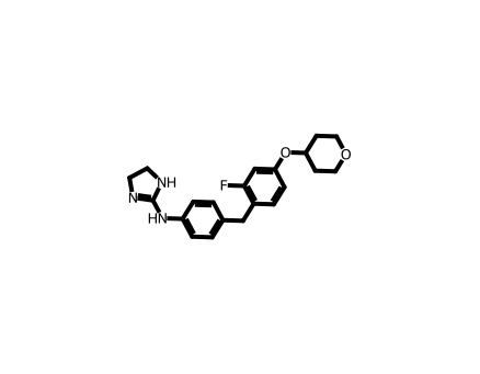 Fc1cc(OC2CCOCC2)ccc1Cc1ccc(NC2=NCCN2)cc1